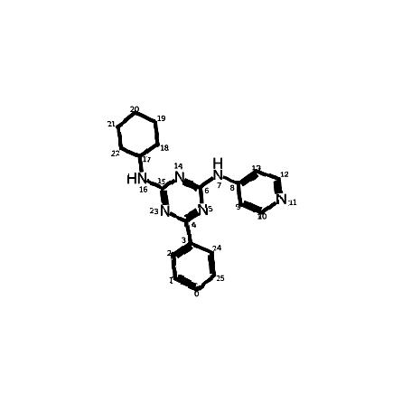 c1ccc(-c2nc(Nc3ccncc3)nc(NC3CCCCC3)n2)cc1